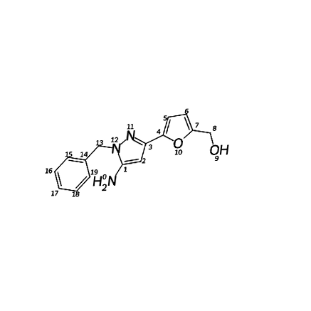 Nc1cc(-c2ccc(CO)o2)nn1Cc1ccccc1